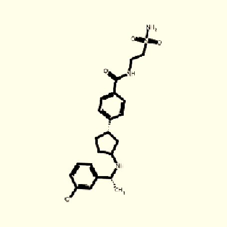 C[C@@H](NC1CC[C@H](c2ccc(C(=O)NCCS(N)(=O)=O)cc2)C1)c1cccc(Cl)c1